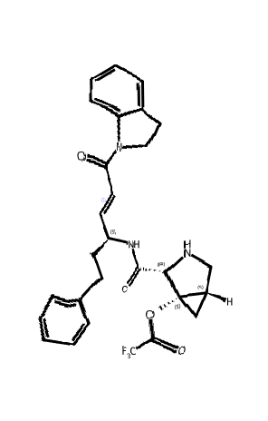 O=C(N[C@H](/C=C/C(=O)N1CCc2ccccc21)CCc1ccccc1)[C@@H]1NC[C@@H]2C[C@]21OC(=O)C(F)(F)F